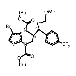 COCO[C@@H](c1ccc(C(F)(F)F)cc1)[C@@H](CN(C(=O)OC(C)(C)C)c1ncc(Br)s1)NC(=O)OC(C)(C)C